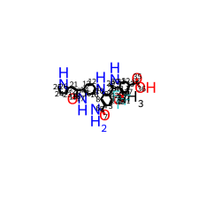 COc1cc(C(N)=O)cc(Nc2ccc3c(c2)NC(=O)C3=Cc2ccc[nH]2)c1-c1c[nH]c2cc(C(=O)O)cc(C(F)(F)F)c12